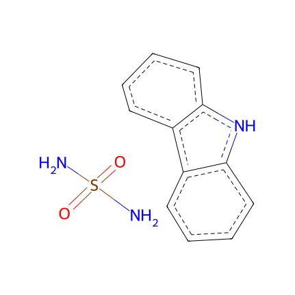 NS(N)(=O)=O.c1ccc2c(c1)[nH]c1ccccc12